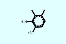 Cc1ccc(C(C)(C)C)c(N)c1C